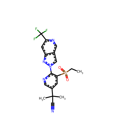 CCS(=O)(=O)c1cc(C(C)(C)C#N)cnc1-n1cc2cnc(C(F)(F)F)cc2n1